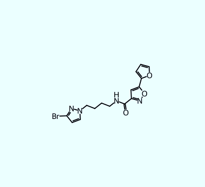 O=C(NCCCCn1ccc(Br)n1)c1cc(-c2ccco2)on1